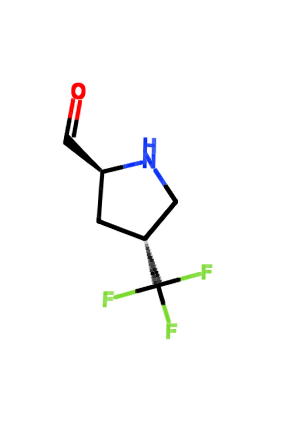 O=C[C@@H]1C[C@@H](C(F)(F)F)CN1